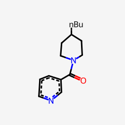 CCCCC1CCN(C(=O)c2cccnc2)CC1